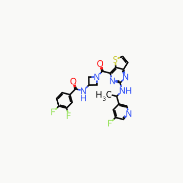 CC(Nc1nc(C(=O)N2CC(NC(=O)c3ccc(F)c(F)c3)C2)c2sccc2n1)c1cncc(F)c1